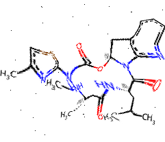 CN[C@@H](C)C(=O)N[C@H](C(=O)N1c2ncccc2C[C@@H]1OC(=O)Nc1nc(C)cs1)C(C)C